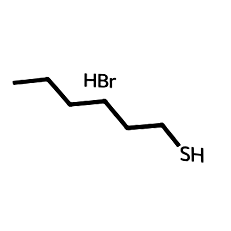 Br.CCCCCCS